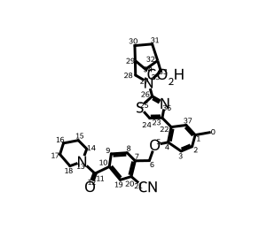 Cc1ccc(OCc2ccc(C(=O)N3CCCCC3)cc2C#N)c(-c2csc(N3CC4CCC(C3)C4C(=O)O)n2)c1